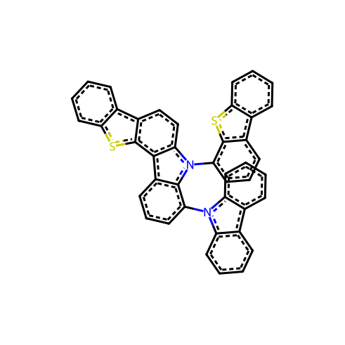 c1ccc2c(c1)sc1c(-n3c4ccc5c6ccccc6sc5c4c4cccc(-n5c6ccccc6c6ccccc65)c43)cccc12